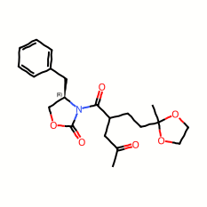 CC(=O)CC(CCC1(C)OCCO1)C(=O)N1C(=O)OC[C@H]1Cc1ccccc1